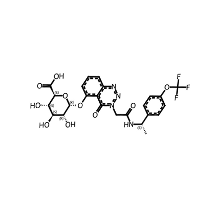 C[C@H](NC(=O)Cn1nnc2cccc(O[C@H]3O[C@H](C(=O)O)[C@@H](O)[C@H](O)[C@H]3O)c2c1=O)c1ccc(OC(F)(F)F)cc1